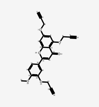 C#CCOc1cc(OCC#C)c2c(=O)cc(-c3ccc(OC)c(OCC#C)c3)oc2c1